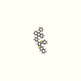 c1ccc(-c2c3ccccc3c(-c3cccc(-c4cc5sc6cc7ccccc7cc6c5c5c4sc4ccccc45)c3)c3ccccc23)cc1